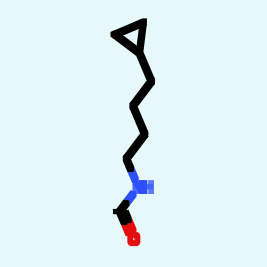 O=[C]NCCCCC1CC1